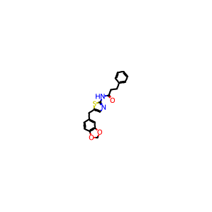 O=C(CCc1ccccc1)Nc1ncc(Cc2ccc3c(c2)OCO3)s1